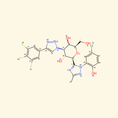 Cc1nc([C@@H]2O[C@H](CO)[C@H](O)[C@H](n3cc(-c4cc(F)c(F)c(F)c4)nn3)[C@H]2O)n(-c2cc(Cl)ccc2O)n1